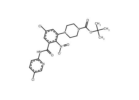 CC(C)(C)OC(=O)N1CCN(c2cc(Cl)cc(C(=O)Nc3ccc(Cl)cn3)c2[N+](=O)[O-])CC1